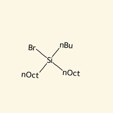 CCCCCCCC[Si](Br)(CCCC)CCCCCCCC